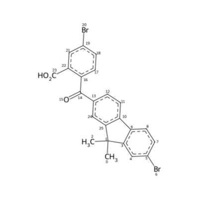 CC1(C)c2cc(Br)ccc2-c2ccc(C(=O)c3ccc(Br)cc3C(=O)O)cc21